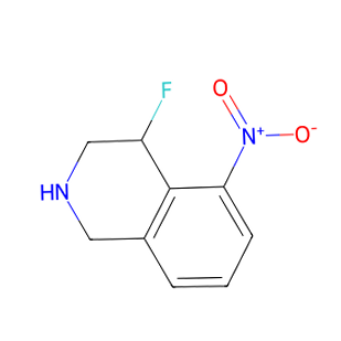 O=[N+]([O-])c1cccc2c1C(F)CNC2